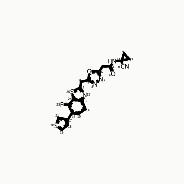 N#CC1(NC(=O)Cc2nnc(Cc3nc4ccc(-c5ccsc5)c(F)c4s3)o2)CC1